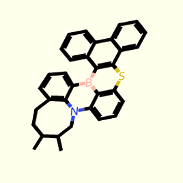 CC1CCc2cccc3c2N(CC1C)c1cccc2c1B3c1c(c3ccccc3c3ccccc13)S2